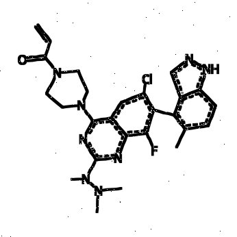 C=CC(=O)N1CCN(c2nc(N(C)N(C)C)nc3c(F)c(-c4c(C)ccc5[nH]ncc45)c(Cl)cc23)CC1